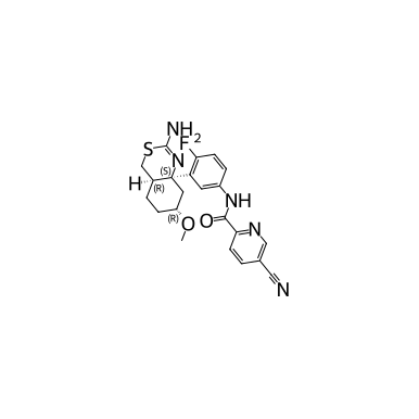 CO[C@@H]1CC[C@H]2CSC(N)=N[C@@]2(c2cc(NC(=O)c3ccc(C#N)cn3)ccc2F)C1